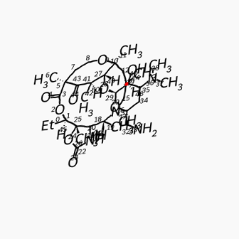 CC[C@H]1OC(=O)[C@@]2(C)CCO[C@@](C)(C[C@@H](C)CN(C)[C@H](C)[C@H]3NC(=O)O[C@@]31C)[C@H](O[C@@H]1O[C@H](CN)CC(N(C)C)C1O)[C@@H](C)C2=O